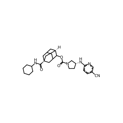 N#Cc1ccc(N[C@@H]2CCN(C(=O)OC3C4CC5C[C@@H]3C[C@@](C(=O)NC3CCCCC3)(C5)C4)C2)nc1